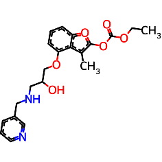 CCOC(=O)Oc1oc2cccc(OCC(O)CNCc3cccnc3)c2c1C